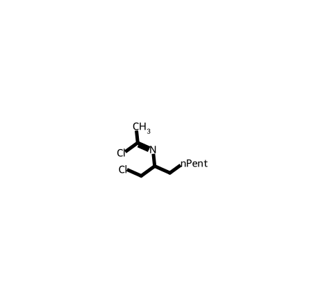 CCCCCCC(CCl)N=C(C)Cl